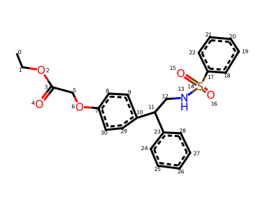 CCOC(=O)COc1ccc(C(CNS(=O)(=O)c2ccccc2)c2ccccc2)cc1